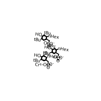 CCCCCCc1c(CP(=O)([O-])[O-])cc(C(C)(C)C)c(O)c1C(C)(C)C.CCCCCCc1c(CP(=O)([O-])[O-])cc(C(C)(C)C)c(O)c1C(C)(C)C.CCCCCCc1c(CP(=O)([O-])[O-])cc(C(C)(C)C)c(O)c1C(C)(C)C.[Cr+6]